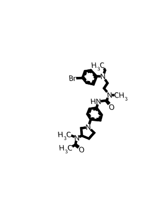 CCN(CCN(C)C(=O)Nc1ccc(N2CCC(N(C)C(C)=O)C2)cc1)c1ccc(Br)cc1